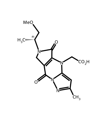 COC[C@@H](C)N1Cc2c(n(CC(=O)O)c3cc(C)nn3c2=O)C1=O